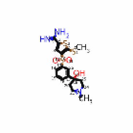 CSc1sc(C(=N)N)cc1S(=O)(=O)c1cccc(C2(O)CCN(C)CC2)c1